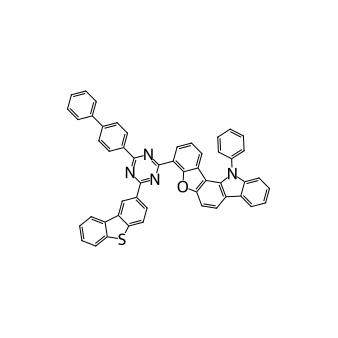 c1ccc(-c2ccc(-c3nc(-c4ccc5sc6ccccc6c5c4)nc(-c4cccc5c4oc4ccc6c7ccccc7n(-c7ccccc7)c6c45)n3)cc2)cc1